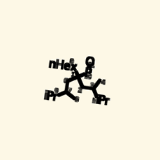 CCCCCCC(CC(C)C(C)C)(CC(C)C(C)C)P=O